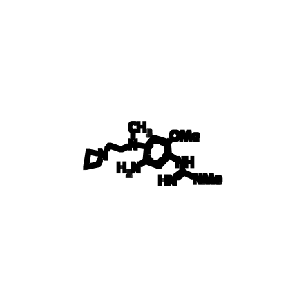 CNC(=N)Nc1cc(N)c(N(C)CCN2CCC2)cc1OC